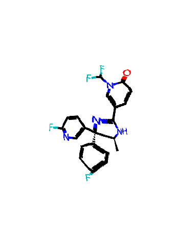 C[C@@H]1NC(c2ccc(=O)n(C(F)F)c2)=N[C@]1(c1ccc(F)cc1)c1ccc(F)nc1